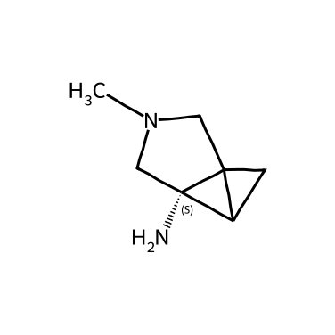 CN1CC23CC2[C@@]3(N)C1